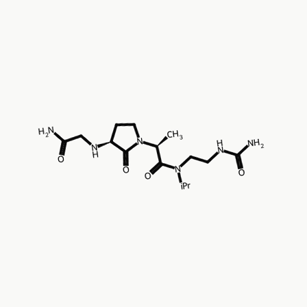 CC(C)N(CCNC(N)=O)C(=O)[C@H](C)N1CC[C@H](NCC(N)=O)C1=O